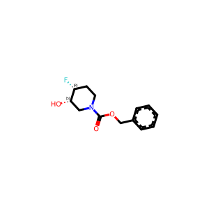 O=C(OCc1ccccc1)N1CC[C@@H](F)[C@@H](O)C1